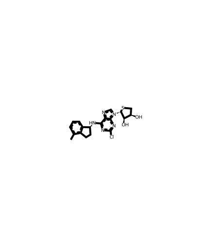 Cc1cccc2c1CC[C@H]2Nc1nc(Cl)nc2c1ncn2[C@@H]1SC[C@@H](O)[C@H]1O